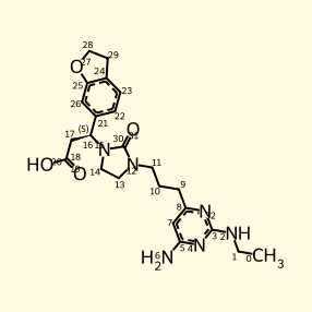 CCNc1nc(N)cc(CCCN2CCN([C@@H](CC(=O)O)c3ccc4c(c3)OCC4)C2=O)n1